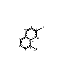 Brc1cccc2ncc(I)cc12